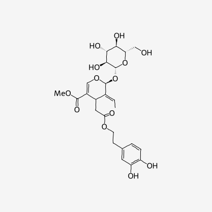 C/C=C1\C(CC(=O)OCCc2ccc(O)c(O)c2)C(C(=O)OC)=CO[C@H]1O[C@H]1O[C@@H](CO)[C@H](O)[C@@H](O)[C@@H]1O